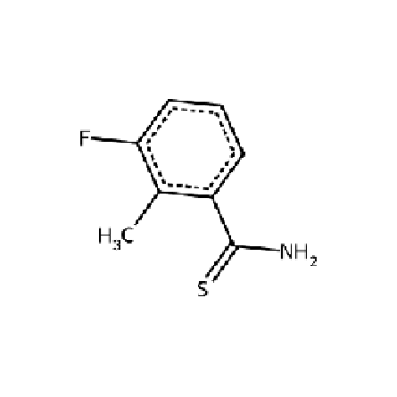 Cc1c(F)cccc1C(N)=S